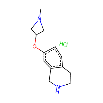 CN1CC(Oc2ccc3c(c2)CNCC3)C1.Cl